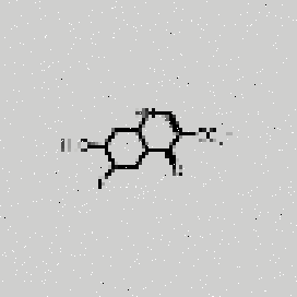 CC1CC2NC=C(C(=O)O)C(=O)C2CC1F